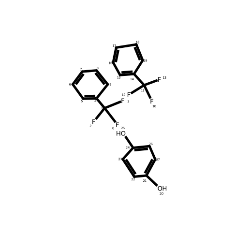 FC(F)(F)c1ccccc1.FC(F)(F)c1ccccc1.Oc1ccc(O)cc1